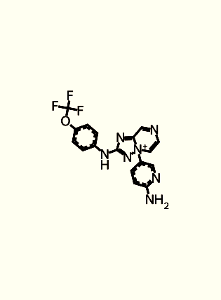 Nc1ccc([N+]23C=CN=CC2=NC(Nc2ccc(OC(F)(F)F)cc2)=N3)cn1